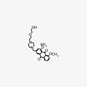 COc1cccc2c1C(=O)c1c(OC)cc(CN3CCN(CCOCCO)CC3)cc1C2=O